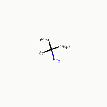 CCCCCCCC(N)(CC)CCCCCCC